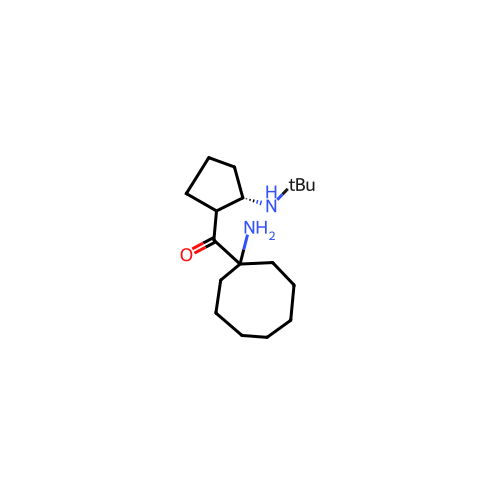 CC(C)(C)N[C@H]1CCCC1C(=O)C1(N)CCCCCCC1